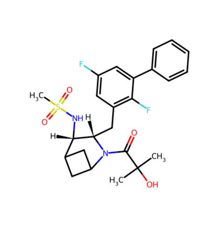 CC(C)(O)C(=O)N1C2CC(C2)[C@H](NS(C)(=O)=O)[C@@H]1Cc1cc(F)cc(-c2ccccc2)c1F